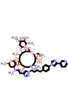 CC[C@H]1OC(=O)[C@H](C)[C@@H](O[C@H]2C[C@@](C)(OC)[C@@H](O)[C@H](C)O2)[C@H](C)[C@@H](O[C@@H]2O[C@H](C)C[C@H](N(C)CCc3cn(CCCCc4ccc(-n5cnc(-c6cccnc6)c5)cc4)nn3)[C@H]2O)[C@](C)(O)C[C@@H](C)CN(C)[C@H](C)[C@@H](O)[C@]1(C)O